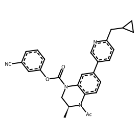 CC(=O)N1c2ccc(-c3ccc(CC4CC4)nc3)cc2N(C(=O)Oc2cccc(C#N)c2)C[C@@H]1C